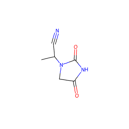 CC(C#N)N1CC(=O)NC1=O